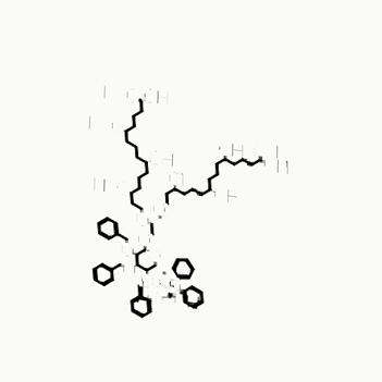 CC(C)CCC[C@@H](C)CCC[C@@H](C)CCC[C@@H](C)CCOC[C@H](CO[C@H]1O[C@H](CO[Si](c2ccccc2)(c2ccccc2)C(C)(C)C)[C@@H](OCc2ccccc2)[C@H](OCc2ccccc2)[C@H]1OCc1ccccc1)OCC[C@H](C)CCC[C@H](C)CCC[C@H](C)CCCC(C)C